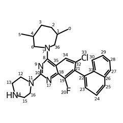 CC1CCC(C)CN(c2nc(N3CCNCC3)nc3c(F)c(-c4cccc5ccccc45)c(Cl)cc23)C1